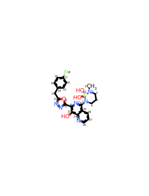 CN1CCCN(c2nc(-c3nnc(Cc4ccc(F)cc4)o3)c(O)c3ncccc23)S1(O)O